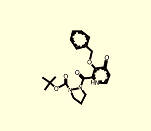 CC(C)(C)OC(=O)N1CCCN1C(=O)c1[nH]ccc(=O)c1OCc1ccccc1